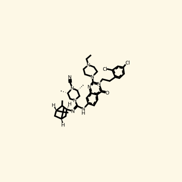 CCN1CCN(c2nc3cc(N/C(=N/[C@H]4C[C@@H]5C[C@H](C4C)C5(C)C)N4C[C@@H](C)N(C#N)[C@@H](C)C4)ccc3c(=O)n2CCc2ccc(Cl)cc2Cl)CC1